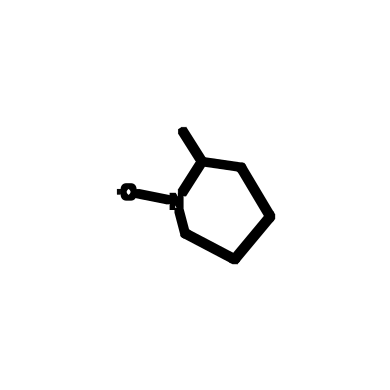 CC1CCCCN1[O]